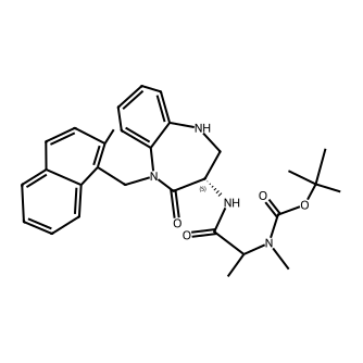 Cc1ccc2ccccc2c1CN1C(=O)[C@@H](NC(=O)C(C)N(C)C(=O)OC(C)(C)C)CNc2ccccc21